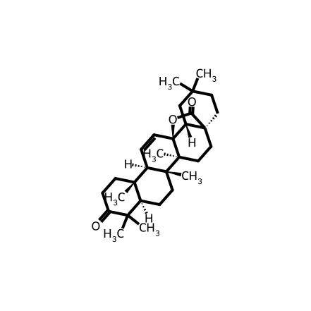 CC1(C)CC[C@@]23CC[C@]4(C)[C@@](C=C[C@@H]5[C@@]6(C)CCC(=O)C(C)(C)[C@@H]6CC[C@]54C)(OC2=O)[C@@H]3C1